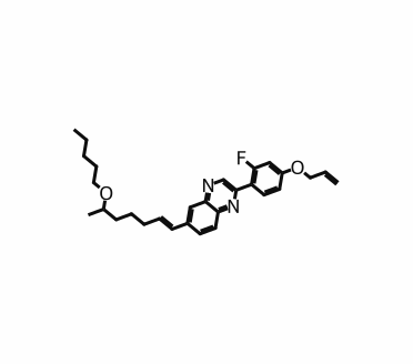 C=CCOc1ccc(-c2cnc3cc(C=CCCCC(C)OCCCCC)ccc3n2)c(F)c1